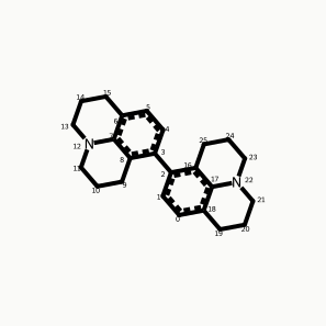 c1cc(-c2ccc3c4c2CCCN4CCC3)c2c3c1CCCN3CCC2